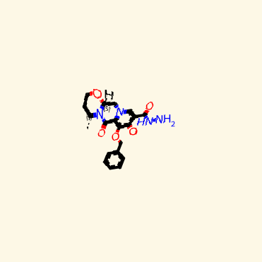 C[C@@H]1CCO[C@H]2Cn3cc(C(=O)NN)c(=O)c(OCc4ccccc4)c3C(=O)N12